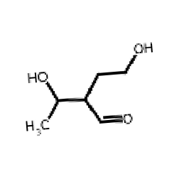 CC(O)C(C=O)CCO